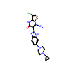 Nc1c(-c2nc3ccc(N4CCN(C5CC5)CC4)cc3[nH]2)c(=O)[nH]c2c(Br)csc12